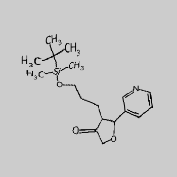 CC(C)(C)[Si](C)(C)OCCCC1C(=O)COC1c1cccnc1